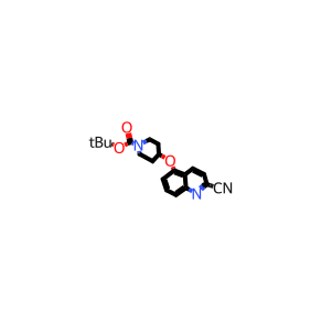 CC(C)(C)OC(=O)N1CCC(Oc2cccc3nc(C#N)ccc23)CC1